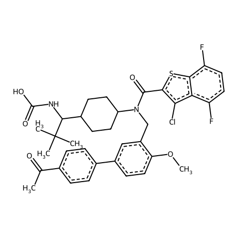 COc1ccc(-c2ccc(C(C)=O)cc2)cc1CN(C(=O)c1sc2c(F)ccc(F)c2c1Cl)C1CCC(C(NC(=O)O)C(C)(C)C)CC1